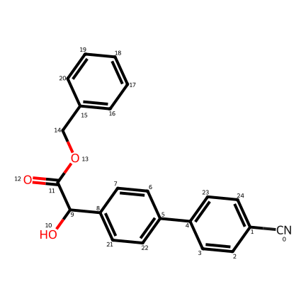 N#Cc1ccc(-c2ccc(C(O)C(=O)OCc3ccccc3)cc2)cc1